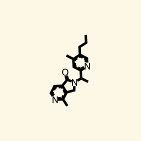 CCCc1cnc(C(C)N2Cc3c(ccnc3C)C2=O)cc1C